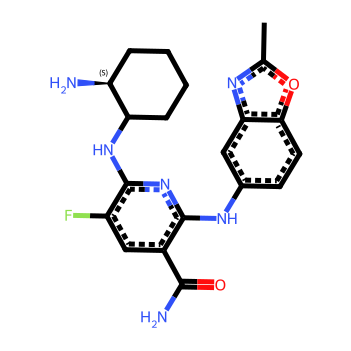 Cc1nc2cc(Nc3nc(NC4CCCC[C@@H]4N)c(F)cc3C(N)=O)ccc2o1